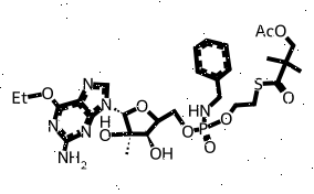 CCOc1nc(N)nc2c1ncn2[C@@H]1OC(COP(=O)(NCc2ccccc2)OCCSC(=O)C(C)(C)COC(C)=O)[C@@H](O)[C@@]1(C)O